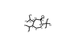 CC(C)C1CCN(C(C)(C)C)C(=O)CC1C(C)C